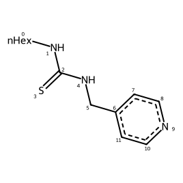 CCCCCCNC(=S)NCc1ccncc1